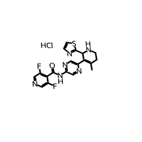 CC1=C(c2cnc(NC(=O)c3c(F)cncc3F)cn2)C(c2nccs2)NCC1.Cl